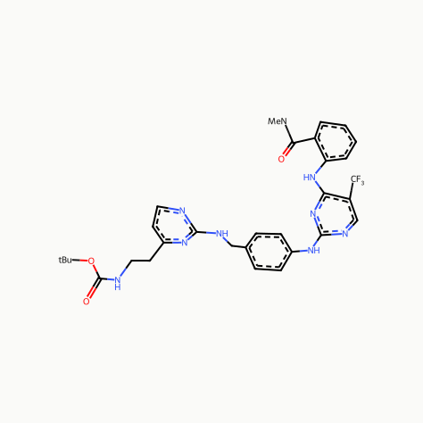 CNC(=O)c1ccccc1Nc1nc(Nc2ccc(CNc3nccc(CCNC(=O)OC(C)(C)C)n3)cc2)ncc1C(F)(F)F